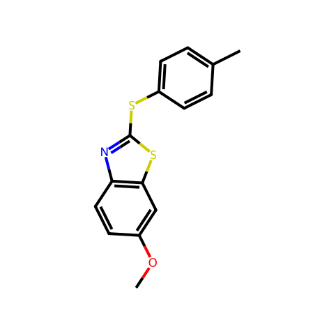 COc1ccc2nc(Sc3ccc(C)cc3)sc2c1